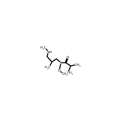 CNCC(C)CN(OC)C(=O)C(C)C